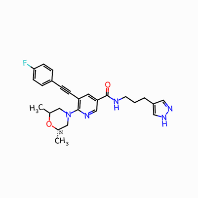 CC1CN(c2ncc(C(=O)NCCCc3cn[nH]c3)cc2C#Cc2ccc(F)cc2)C[C@H](C)O1